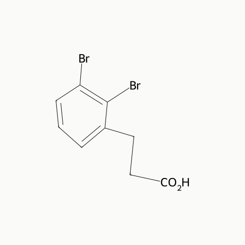 O=C(O)CCc1cccc(Br)c1Br